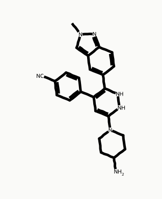 Cn1cc2cc(C3=C(c4ccc(C#N)cc4)C=C(N4CCC(N)CC4)NN3)ccc2n1